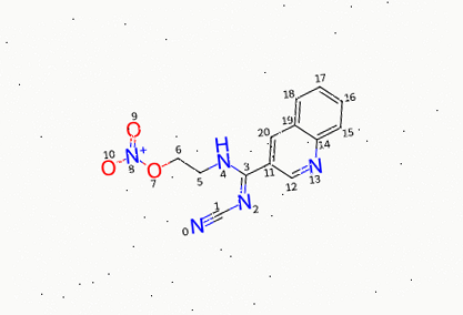 N#CN=C(NCCO[N+](=O)[O-])c1cnc2ccccc2c1